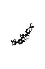 Cc1ncc(-c2ccc3cnc(NC(=O)C4CCN(CC(C)(F)F)CC4)cc3c2)o1